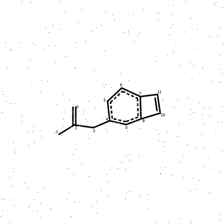 C=C(C)Cc1ccc2c(c1)C=C2